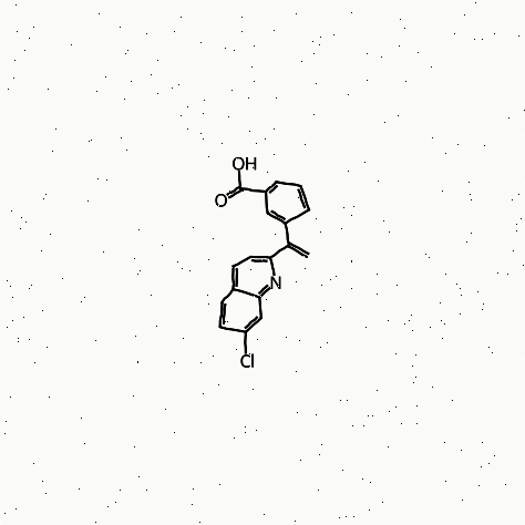 C=C(c1cccc(C(=O)O)c1)c1ccc2ccc(Cl)cc2n1